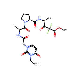 CCCOC(=O)C(F)(F)C(=O)[C@@H](NC(=O)[C@@H]1CCCN1C(=O)[C@@H](NC(=O)Cn1ccc(=O)n(CC(=O)O)c1=O)C(C)C)C(C)C